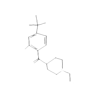 CCN1CCC(C(=O)c2ccc(C(C)(F)F)cc2F)CC1